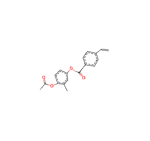 C=Cc1ccc(C(=O)Oc2ccc(OC(C)=O)c(C)c2)cc1